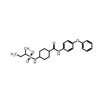 CCC(C)S(=O)(=O)NC1CCC(C(=O)Nc2ccc(Oc3ccccc3)cc2)CC1